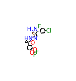 NC(c1cnc(NC(=O)C2(c3ccc4c(c3)OC(F)(F)O4)CC2)s1)c1ccc(Cl)cc1F